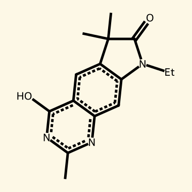 CCN1C(=O)C(C)(C)c2cc3c(O)nc(C)nc3cc21